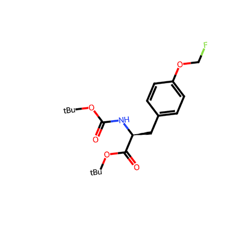 CC(C)(C)OC(=O)N[C@@H](Cc1ccc(OCF)cc1)C(=O)OC(C)(C)C